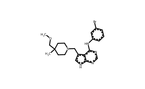 COCC1(C)CCN(Cc2c[nH]c3ncnc(Nc4cccc(Br)c4)c23)CC1